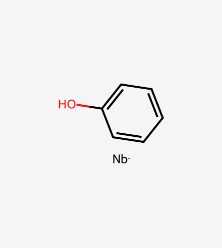 Oc1ccccc1.[Nb]